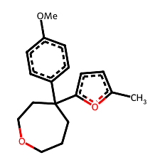 COc1ccc(C2(c3ccc(C)o3)CCCOCC2)cc1